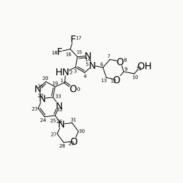 O=C(Nc1cn(C2COC(CO)OC2)nc1C(F)F)c1cnn2ccc(N3CCOCC3)nc12